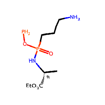 CCOC(=O)[C@@H](C)NP(=O)(CCCN)OP